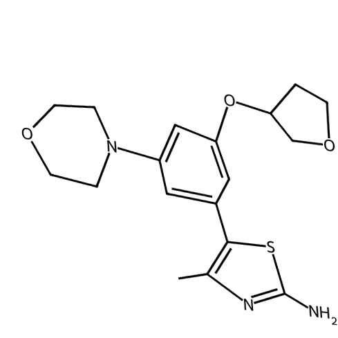 Cc1nc(N)sc1-c1cc(OC2CCOC2)cc(N2CCOCC2)c1